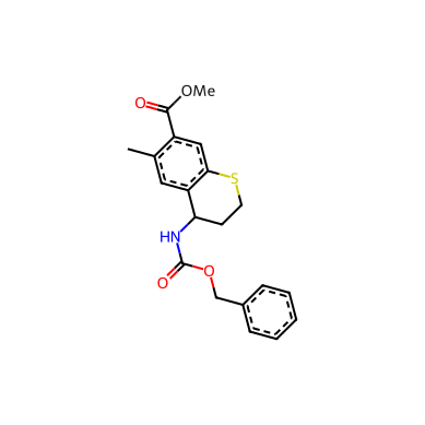 COC(=O)c1cc2c(cc1C)C(NC(=O)OCc1ccccc1)CCS2